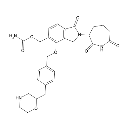 NC(=O)OCc1ccc2c(c1OCc1ccc(CC3CNCCO3)cc1)CN(C1CCCC(=O)NC1=O)C2=O